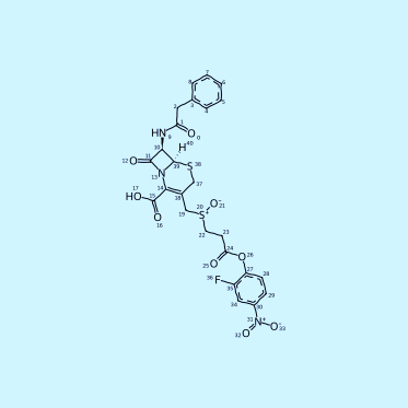 O=C(Cc1ccccc1)N[C@@H]1C(=O)N2C(C(=O)O)=C(C[S+]([O-])CCC(=O)Oc3ccc([N+](=O)[O-])cc3F)CS[C@H]12